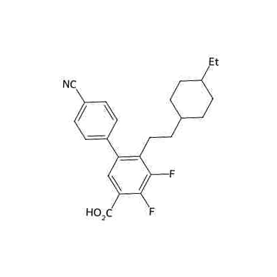 CCC1CCC(CCc2c(-c3ccc(C#N)cc3)cc(C(=O)O)c(F)c2F)CC1